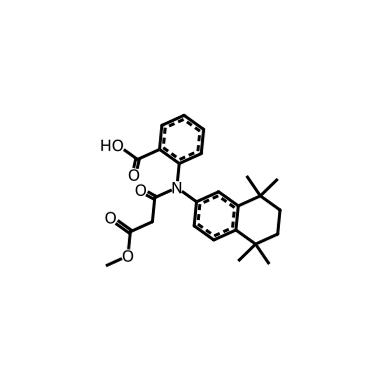 COC(=O)CC(=O)N(c1ccc2c(c1)C(C)(C)CCC2(C)C)c1ccccc1C(=O)O